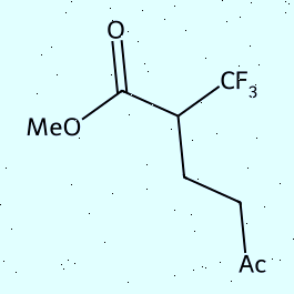 COC(=O)C(CCC(C)=O)C(F)(F)F